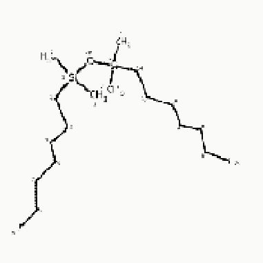 C[Si](C)(CCCCCCI)O[Si](C)(C)CCCCCCI